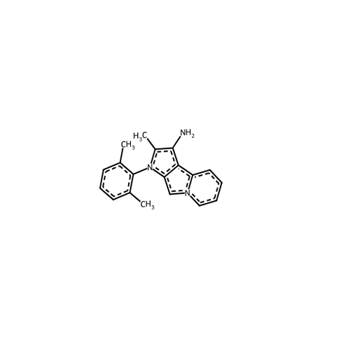 Cc1cccc(C)c1-n1c(C)c(N)c2c1cn1ccccc21